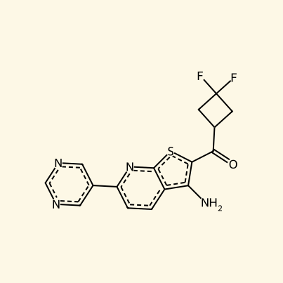 Nc1c(C(=O)C2CC(F)(F)C2)sc2nc(-c3cncnc3)ccc12